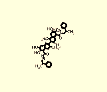 Cc1cc2c(C(=O)N=NCC(C)c3ccccc3)c(O)c(O)cc2c(O)c1-c1c(C)cc2c(C(=O)N(N)CC(C)c3ccccc3)c(O)c(O)cc2c1O